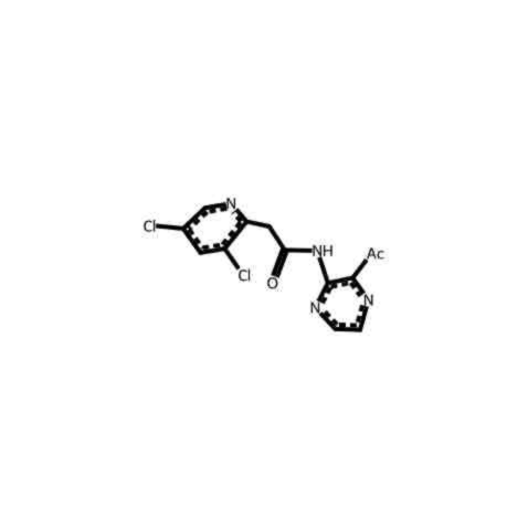 CC(=O)c1nccnc1NC(=O)Cc1ncc(Cl)cc1Cl